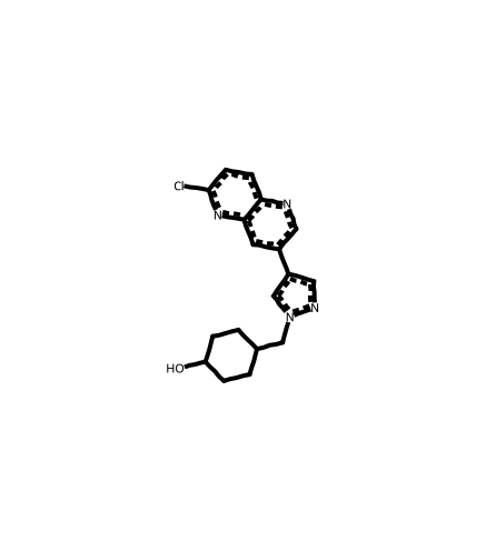 OC1CCC(Cn2cc(-c3cnc4ccc(Cl)nc4c3)cn2)CC1